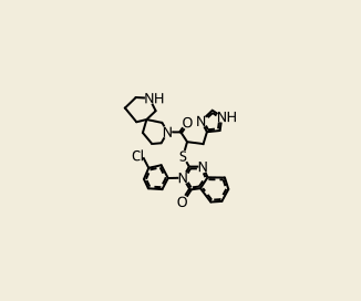 O=C(C(Cc1c[nH]cn1)Sc1nc2ccccc2c(=O)n1-c1cccc(Cl)c1)N1CCCC2(CCCNC2)C1